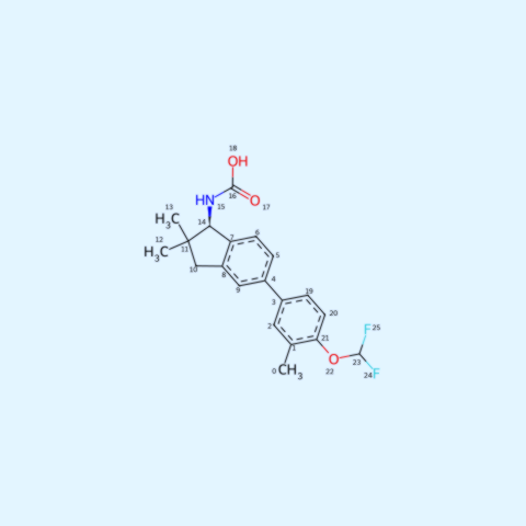 Cc1cc(-c2ccc3c(c2)CC(C)(C)[C@H]3NC(=O)O)ccc1OC(F)F